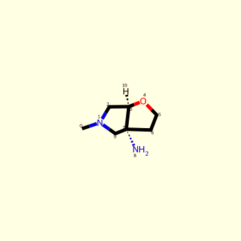 CN1C[C@H]2OCC[C@@]2(N)C1